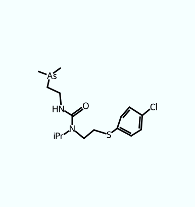 CC(C)N(CCSc1ccc(Cl)cc1)C(=O)NCC[As](C)C